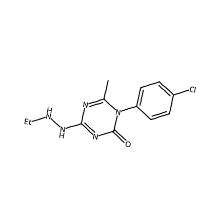 CCNNc1nc(C)n(-c2ccc(Cl)cc2)c(=O)n1